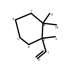 C=CC1(C)CCCCC1(C)C